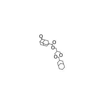 O=C1C2CC3CC1CC(C(=O)OCC1COC(C4CC5CCCC(C5)C4)OC1)(C3)C2